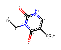 CC(C)Cn1c(=O)[nH]cc(C(=O)O)c1=O